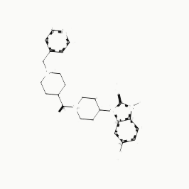 Cn1c(=O)n(C2CCN(C(=O)C3CCN(Cc4ccncc4)CC3)CC2)c2cc(Cl)ccc21